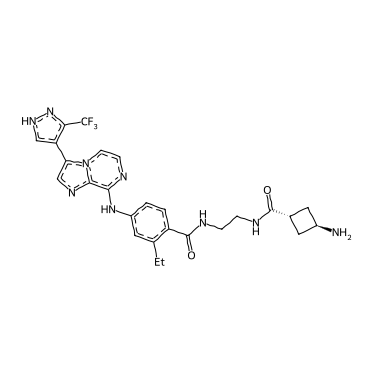 CCc1cc(Nc2nccn3c(-c4c[nH]nc4C(F)(F)F)cnc23)ccc1C(=O)NCCNC(=O)[C@H]1C[C@H](N)C1